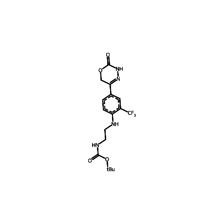 CC(C)(C)OC(=O)NCCNc1ccc(C2=NNC(=O)OC2)cc1C(F)(F)F